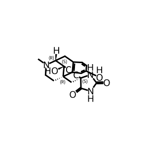 CN1CC[C@]23C[C@]4(CC[C@@]2(O)[C@H]1Cc1ccc(O)cc13)NC(=O)NC4=O